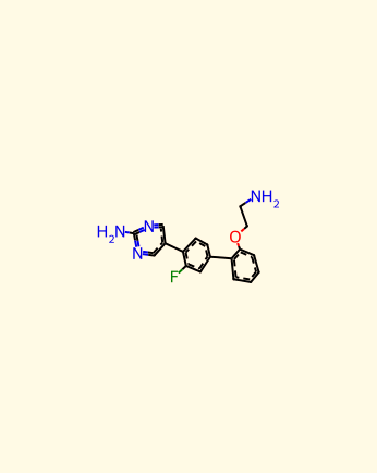 NCCOc1ccccc1-c1ccc(-c2cnc(N)nc2)c(F)c1